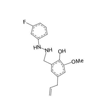 C=CCc1cc(CNNc2cccc(F)c2)c(O)c(OC)c1